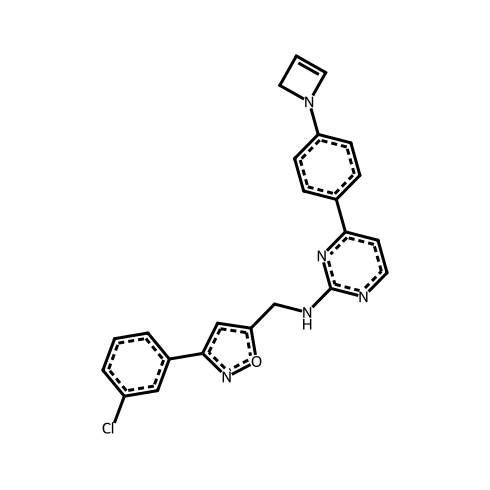 Clc1cccc(-c2cc(CNc3nccc(-c4ccc(N5C=CC5)cc4)n3)on2)c1